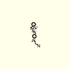 CN(CCC#N)c1ccc(/N=N/C2=[N+](C)c3ccccc3C2(C)C)cc1